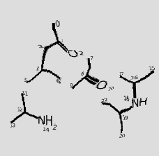 CC(=O)CC(C)C.CC(C)=O.CC(C)N.CC(C)NC(C)C